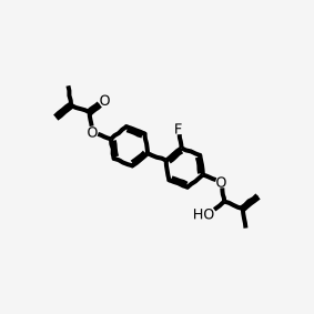 C=C(C)C(=O)Oc1ccc(-c2ccc(OC(O)C(=C)C)cc2F)cc1